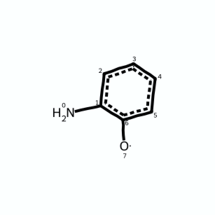 Nc1c[c]ccc1[O]